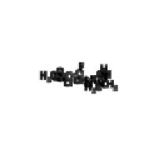 CN(C)[C@]1(C2=CCN2)CN(c2cc(-c3cc(F)cc(-c4ccc(-n5ccn(C)c5=O)c(Cl)c4)c3O)ccn2)C[C@H]1O